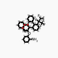 Nc1ccccc1Oc1ccccc1-c1cccc(C(F)(C(F)F)C(F)(F)F)c1-c1ccccc1Oc1ccccc1N